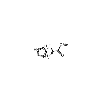 C=C(C)C(=O)OC.c1c[nH]cn1